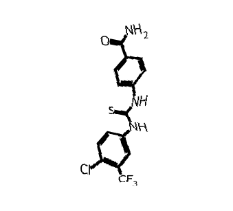 NC(=O)c1ccc(NC(=S)Nc2ccc(Cl)c(C(F)(F)F)c2)cc1